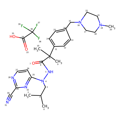 CC(C)CN(NC(=O)C(C)(C)c1ccc(CN2CCN(C)CC2)cc1)c1ccnc(C#N)n1.O=C(O)C(F)(F)F